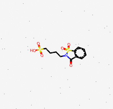 O=C1c2ccccc2S(=O)(=O)N1CCCCS(=O)(=O)O